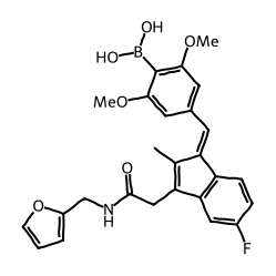 COc1cc(C=C2C(C)=C(CC(=O)NCc3ccco3)c3cc(F)ccc32)cc(OC)c1B(O)O